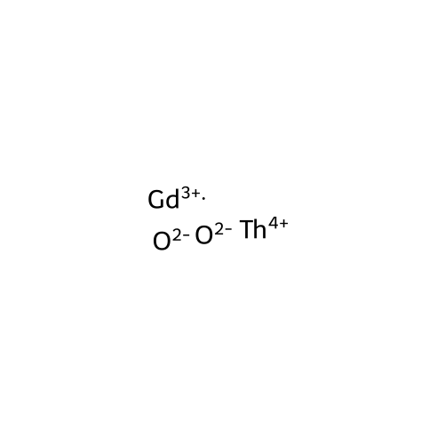 [Gd+3].[O-2].[O-2].[Th+4]